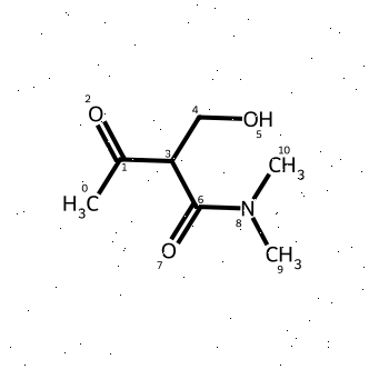 CC(=O)C(CO)C(=O)N(C)C